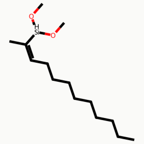 CCCCCCCCCC=C(C)[SiH](OC)OC